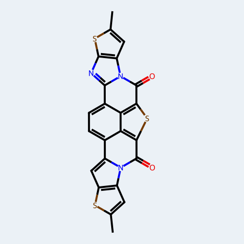 Cc1cc2c(cc3c4ccc5c6c(sc(c(=O)n23)c46)c(=O)n2c3cc(C)sc3nc52)s1